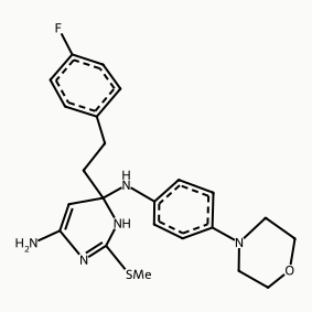 CSC1=NC(N)=CC(CCc2ccc(F)cc2)(Nc2ccc(N3CCOCC3)cc2)N1